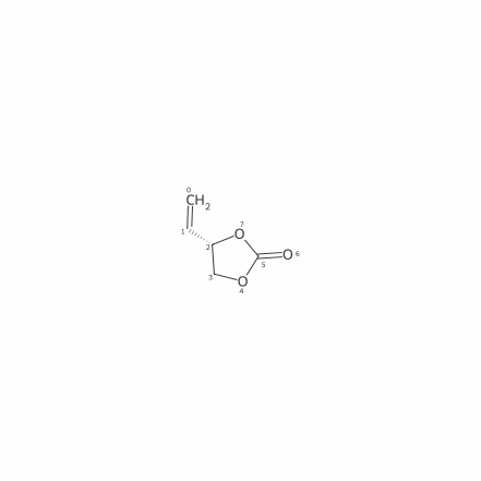 C=C[C@H]1COC(=O)O1